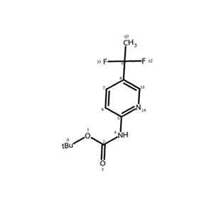 CC(C)(C)OC(=O)Nc1ccc(C(C)(F)F)cn1